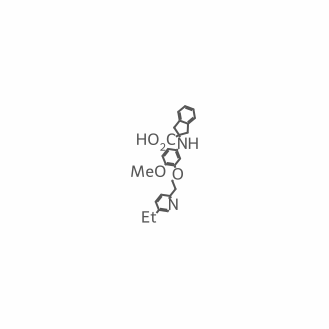 CCc1ccc(CCOc2cc(NC3(C(=O)O)Cc4ccccc4C3)ccc2OC)nc1